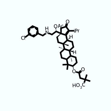 CC(=O)O[C@@H](CNCc1cccc(Cl)c1)[C@@]12CC[C@]3(C)[C@H](CC[C@@H]4[C@@]5(C)CC[C@H](OC(=O)CC(C)(C)C(=O)O)C(C)(C)C5CC[C@]43C)C1=C(C(C)C)C(=O)C2